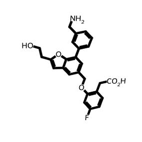 NCc1cccc(-c2cc(COc3cc(F)ccc3CC(=O)O)cc3cc(CCO)oc23)c1